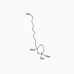 CCCCCCCCCCCCCCCCCCC1(OC)CCC[Si](OC)(OC)O1